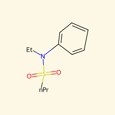 CCCS(=O)(=O)N(CC)c1ccccc1